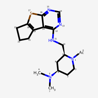 CC(=O)N1CC[C@@H](N(C)C)C[C@H]1CNc1ncnc2sc3c(c12)CCC3